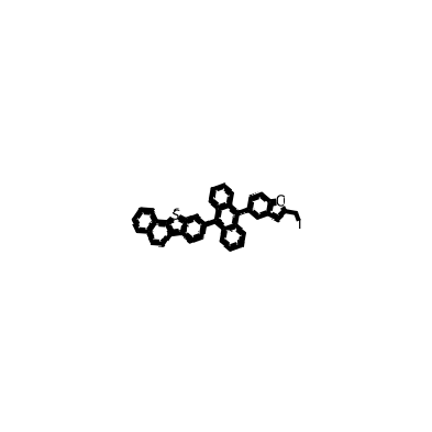 ICc1cc2cc(-c3c4ccccc4c(-c4ccc5c(c4)sc4c6ccccc6ccc54)c4ccccc34)ccc2o1